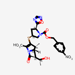 C[C@@H](O)[C@H]1C(=O)N2C(C(=O)O)=C(S[C@H]3C[C@@H](c4ncno4)N(C(=O)OCc4ccc([N+](=O)[O-])cc4)C3)[C@H](C)[C@H]12